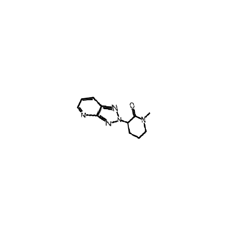 CN1CCCC(n2nc3cccnc3n2)C1=O